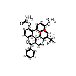 COc1ccc(-c2c(OC(N)=O)cccc2-c2c(C(=O)c3ccccc3)cnc3c(C(F)(F)F)cccc23)cc1